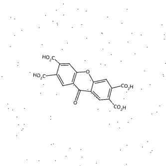 O=C(O)c1cc2oc3cc(C(=O)O)c(C(=O)O)cc3c(=O)c2cc1C(=O)O